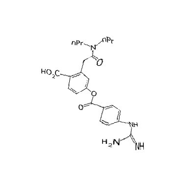 CCCN(CCC)C(=O)Cc1cc(OC(=O)c2ccc(NC(=N)N)cc2)ccc1C(=O)O